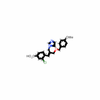 COc1ccc(COC/C(=C/c2ccc(C(=O)O)cc2Cl)Cn2ccnc2)cc1